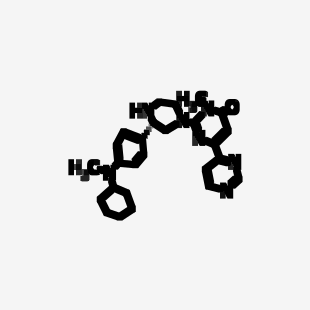 CN(c1ccc([C@H]2CN(c3nc(-c4ccncn4)cc(=O)n3C)CCN2)cc1)C1CCCCC1